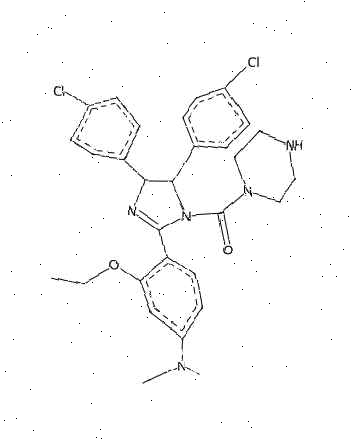 CCOc1cc(N(C)C)ccc1C1=NC(c2ccc(Cl)cc2)C(c2ccc(Cl)cc2)N1C(=O)N1CCNCC1